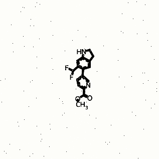 COC(=O)c1ccc(-c2cc3c(cc2C(F)F)NCC3)cn1